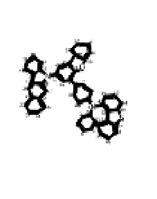 c1ccc(N(c2ccc(-c3cc(-n4c5ccccc5c5cc6ccccc6cc54)cc4c3oc3ccccc34)cc2)c2cccc3sc4ccccc4c23)cc1